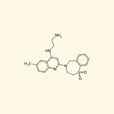 Cc1ccc2nc(N3CCS(=O)(=O)c4ccccc4C3)cc(NCCN)c2c1